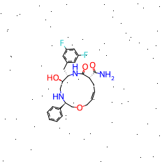 NC(=O)[C@@H]1C/C=C\COC[C@@H](c2ccccc2)NC[C@@H](O)[C@H](Cc2cc(F)cc(F)c2)NC1=O